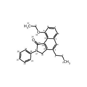 CCCc1cc2cccc(OCC)c2c2c1CN(c1cc[c]cc1)C2=O